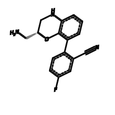 N#Cc1cc(F)ccc1-c1cccc2c1O[C@H](CN)CN2